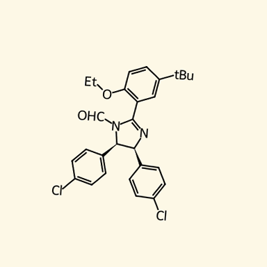 CCOc1ccc(C(C)(C)C)cc1C1=N[C@@H](c2ccc(Cl)cc2)[C@@H](c2ccc(Cl)cc2)N1C=O